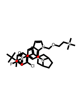 CN(C(C)(C)C)S(=O)(=O)c1cc(N2C3CCC2CN(C(=O)c2ccc(F)cc2Cl)C3)c2c(ccn2COCC[Si](C)(C)C)c1